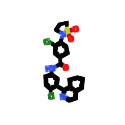 O=C(Nc1ccc(Cl)c(-c2nccc3ccccc23)c1)c1ccc(N2CCCS2(=O)=O)c(Cl)c1